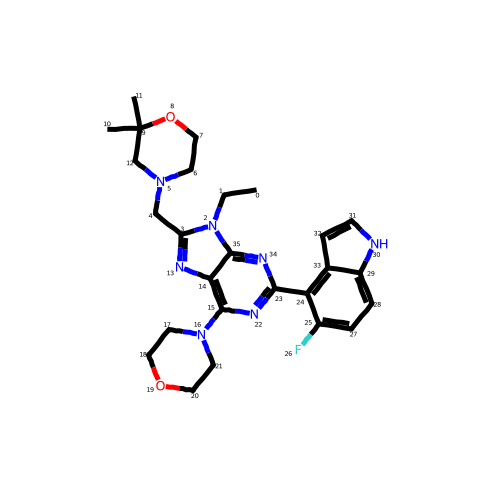 CCn1c(CN2CCOC(C)(C)C2)nc2c(N3CCOCC3)nc(-c3c(F)ccc4[nH]ccc34)nc21